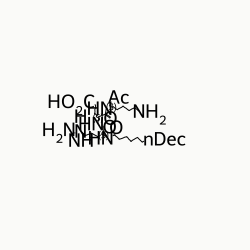 CCCCCCCCCCCCCCCC(=O)N[C@@H](CCCNC(=N)N)C(=O)N[C@@H](CCC(=O)O)C(=O)N[C@@H](CCCCN)C(C)=O